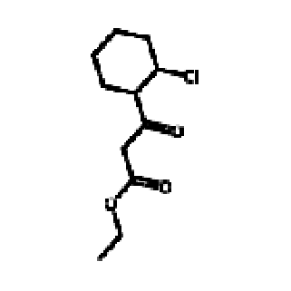 CCOC(=O)CC(=O)C1CCCCC1Cl